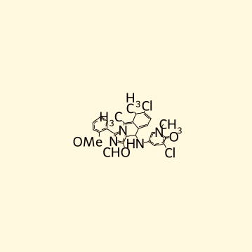 COc1ccccc1-c1nc(C=O)c2n1C(C)=C1C(=CC=C(Cl)C1C)C2Nc1cc(Cl)c(=O)n(C)c1